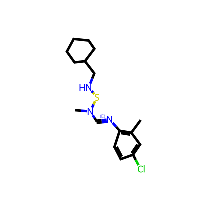 Cc1cc(Cl)ccc1/N=C/N(C)SNCC1CCCCC1